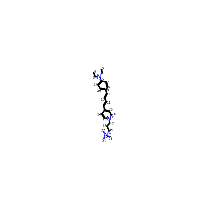 CCN(CC)c1ccc(C=CC=Cc2cc[n+](CCC[N+](C)(C)C)cc2)cc1